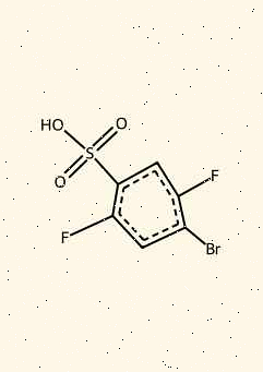 O=S(=O)(O)c1cc(F)c(Br)cc1F